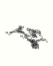 CCCCC(CC)CC(CC(=O)O)(CC(CC)CCCC)C(=O)O.CCCCCCCCC(C(=O)O)C(CCCCCCCC)(C(=O)O)S(=O)(=O)O.CCCCCCCCC(CCCCCCCC)(CC(=O)O)C(=O)O.[NaH].[NaH]